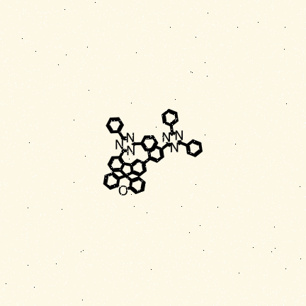 c1ccc(-c2nc(-c3ccccc3)nc(-c3ccc(-c4ccc5c(c4)-c4c(-c6nc(-c7ccccc7)nc(-c7ccccc7)n6)cccc4C54c5ccccc5Oc5ccccc54)cc3)n2)cc1